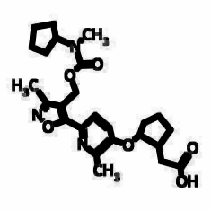 Cc1nc(-c2onc(C)c2COC(=O)N(C)C2CCCC2)ccc1OC1CCCC1CC(=O)O